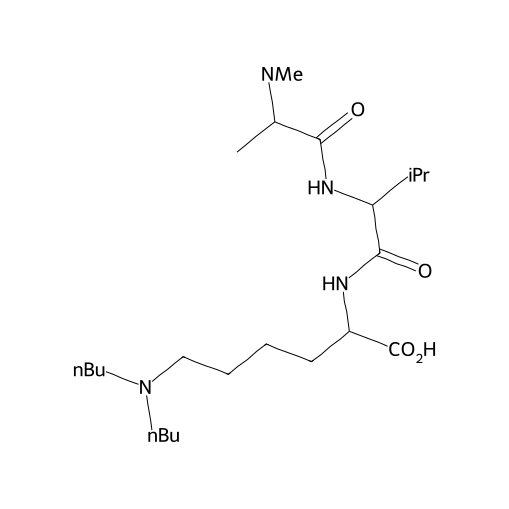 CCCCN(CCCC)CCCCC(NC(=O)C(NC(=O)C(C)NC)C(C)C)C(=O)O